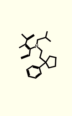 C=C/C(=C(\C)C(=C)C)N(CCC1(c2ccccc2)CCCC1)CC(C)C